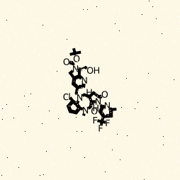 Cc1cc(C(F)(F)F)cc(N2C(=O)C[C@@H]3CN(Cc4cnc5c(c4)CN(C(=O)OC(C)(C)C)[C@H]5CO)c4c(Cl)cccc4N(C)C(=O)[C@H]32)n1